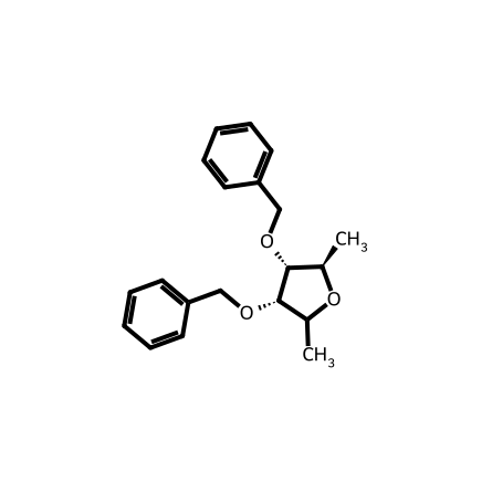 CC1O[C@H](C)[C@@H](OCc2ccccc2)[C@H]1OCc1ccccc1